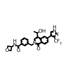 CC(O)c1cn(Cc2cccc(C(=O)NC3COC3)c2)c(=O)c2ccc(-c3c[nH]nc3C(F)(F)F)cc12